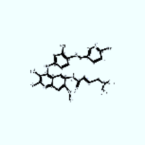 CCOc1cc2nc(CC)c(C#N)c(Nc3ccc(OCc4ccc(C(C)C)nc4)c(Cl)c3)c2cc1NC(=O)/C=C/CN(C)C